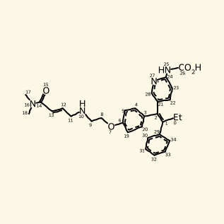 CCC(=C(c1ccc(OCCNCC=CC(=O)N(C)C)cc1)c1ccc(NC(=O)O)nc1)c1ccccc1